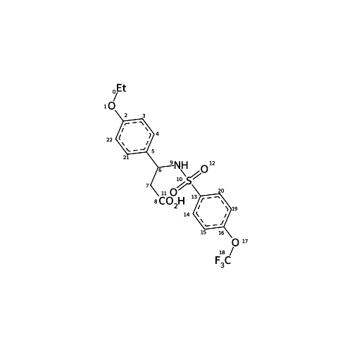 CCOc1ccc(C(CC(=O)O)NS(=O)(=O)c2ccc(OC(F)(F)F)cc2)cc1